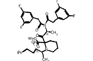 COC(=O)C1(C(=O)[C@H](C)N(C(=O)Cc2cc(F)cc(F)c2)C(=O)Cc2cc(F)cc(F)c2)CCCCN1C(C)[C@@H](O)CCC(C)C